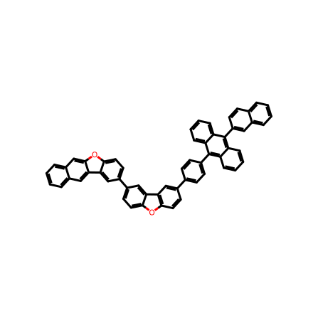 c1ccc2cc(-c3c4ccccc4c(-c4ccc(-c5ccc6oc7ccc(-c8ccc9oc%10cc%11ccccc%11cc%10c9c8)cc7c6c5)cc4)c4ccccc34)ccc2c1